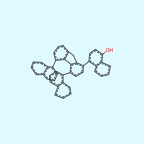 Oc1ccc(-c2ccc(-c3cccc4ccccc34)c3c2Cc2cccc(-c4cccc5ccccc45)c2-3)c2ccccc12